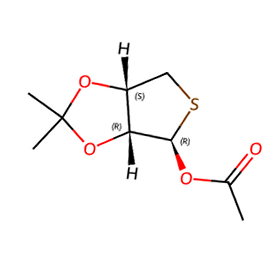 CC(=O)O[C@@H]1SC[C@H]2OC(C)(C)O[C@@H]12